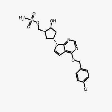 NS(=O)(=O)OC[C@@H]1C[C@@H](n2ccc3c(OCc4ccc(Cl)cc4)ncnc32)C[C@@H]1O